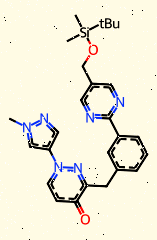 Cn1cc(-n2ccc(=O)c(Cc3cccc(-c4ncc(CO[Si](C)(C)C(C)(C)C)cn4)c3)n2)cn1